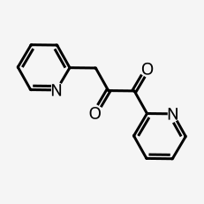 O=C(Cc1ccccn1)C(=O)c1ccccn1